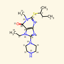 CCC(C)Sc1nc2nc(N3CCNCC3)n(CC)c2c(=O)n1C